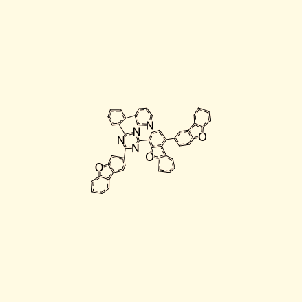 c1cncc(-c2ccccc2-c2nc(-c3ccc4c(c3)oc3ccccc34)nc(-c3ccc(-c4ccc5oc6ccccc6c5c4)c4c3oc3ccccc34)n2)c1